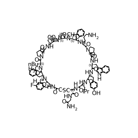 CCCC[C@H]1C(=O)N2CCC[C@@H]2C(=O)N[C@@H](CC(=O)O)C(=O)N[C@@H](C(C)C)C(=O)N(C)[C@@H](Cc2ccccc2)C(=O)N[C@@H](CCCN)C(=O)N2CCC[C@@H]2C(=O)N[C@@H](Cc2c[nH]c3ccccc23)C(=O)N[C@@H](Cc2ccc(O)cc2)C(=O)N[C@@H](CC(C)C)C(=O)N[C@H](C(=O)NCC(N)=O)CSCC(=O)N[C@@H](Cc2ccc(F)cc2)C(=O)N(C)[C@@H](Cc2ccccc2)C(=O)N1C